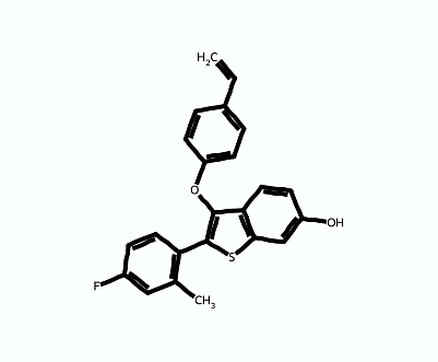 C=Cc1ccc(Oc2c(-c3ccc(F)cc3C)sc3cc(O)ccc23)cc1